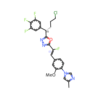 COc1cc(/C=C(\F)c2nnc([C@@H](CCCCl)c3cc(F)c(F)c(F)c3)o2)ccc1-n1cnc(C)c1